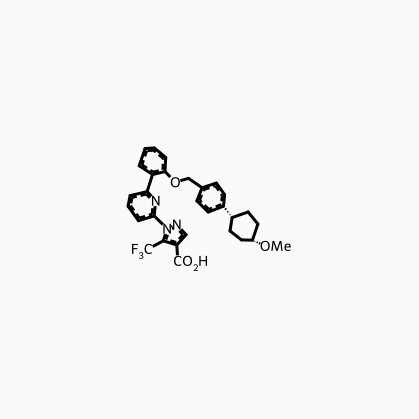 CO[C@H]1CC[C@@H](c2ccc(COc3ccccc3-c3cccc(-n4ncc(C(=O)O)c4C(F)(F)F)n3)cc2)CC1